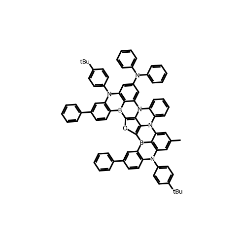 Cc1cc2c3c(c1)N1c4ccccc4N4c5cc(N(c6ccccc6)c6ccccc6)cc6c5B(c5ccc(-c7ccccc7)cc5N6c5ccc(C(C)(C)C)cc5)c5oc(c1c54)B3c1cc(-c3ccccc3)ccc1N2c1ccc(C(C)(C)C)cc1